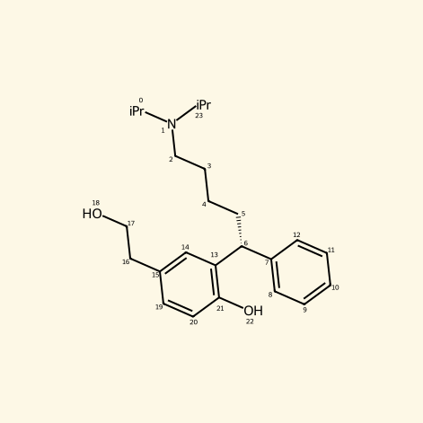 CC(C)N(CCCC[C@H](c1ccccc1)c1cc(CCO)ccc1O)C(C)C